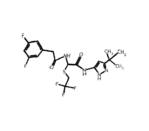 CC(C)(C)c1cc(NC(=O)C(NC(=O)Cc2cc(F)cc(F)c2)SCC(F)(F)F)[nH]n1